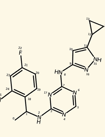 CC(Nc1ncnc(Nc2cc(C3CC3)[nH]n2)n1)c1ccc(F)cc1Cl